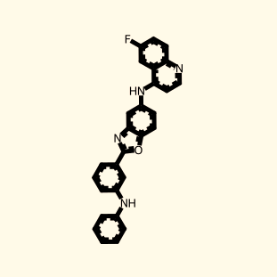 Fc1ccc2nccc(Nc3ccc4oc(-c5cccc(Nc6ccccc6)c5)nc4c3)c2c1